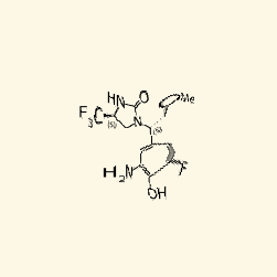 COC[C@H](c1cc(N)c(O)c(F)c1)N1C[C@@H](C(F)(F)F)NC1=O